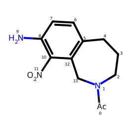 CC(=O)N1CCCc2ccc(N)c([N+](=O)[O-])c2C1